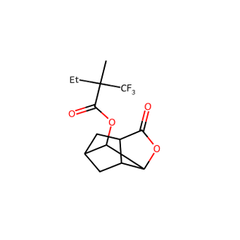 CCC(C)(C(=O)OC1C2CC3C(=O)OC1C3C2)C(F)(F)F